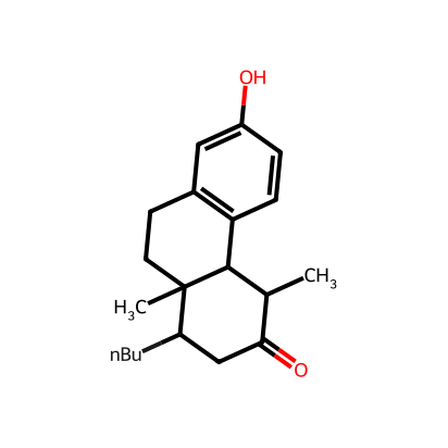 CCCCC1CC(=O)C(C)C2c3ccc(O)cc3CCC12C